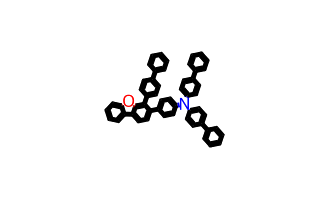 c1ccc(-c2ccc(-c3c(-c4ccc(N(c5ccc(-c6ccccc6)cc5)c5ccc(-c6ccccc6)cc5)cc4)ccc4c3oc3ccccc34)cc2)cc1